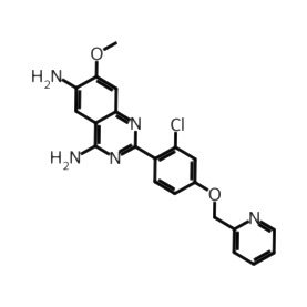 COc1cc2nc(-c3ccc(OCc4ccccn4)cc3Cl)nc(N)c2cc1N